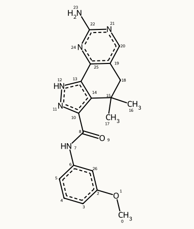 COc1cccc(NC(=O)c2n[nH]c3c2C(C)(C)Cc2cnc(N)nc2-3)c1